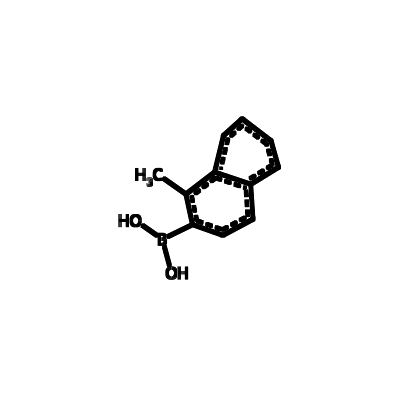 Cc1c(B(O)O)ccc2ccccc12